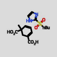 CC1(C(=O)O)C=CC=C(C(=O)O)C1.CCCCS(=O)(=O)c1ncc[nH]1